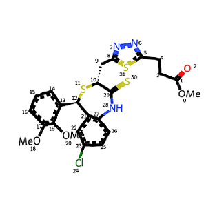 COC(=O)CCc1nnc(C[C@H]2S[C@H](c3cccc(OC)c3OC)c3cc(Cl)ccc3NC2=S)s1